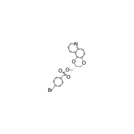 O=S(=O)(OC[C@H]1COc2ccc3ncccc3c2O1)c1ccc(Br)cc1